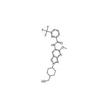 COc1nc2nn(C3CCC(CO)CC3)cc2cc1NC(=O)c1cccc(C(F)(F)F)n1